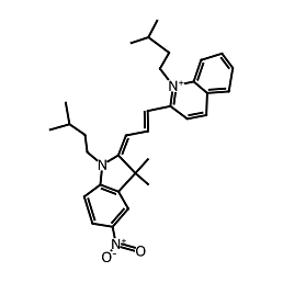 CC(C)CCN1/C(=C/C=C/c2ccc3ccccc3[n+]2CCC(C)C)C(C)(C)c2cc([N+](=O)[O-])ccc21